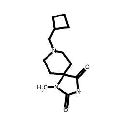 CN1C(=O)[N]C(=O)C12CCN(CC1CCC1)CC2